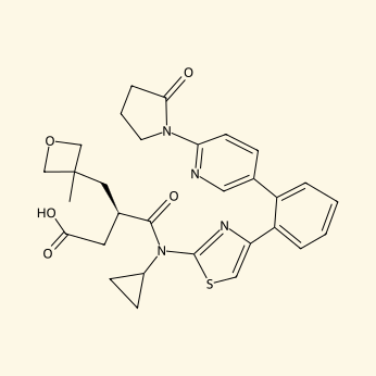 CC1(C[C@H](CC(=O)O)C(=O)N(c2nc(-c3ccccc3-c3ccc(N4CCCC4=O)nc3)cs2)C2CC2)COC1